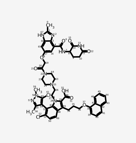 Cc1nc2c(C(=O)NC3CCC(=O)NC3=O)cc(OCC(=O)N3CCN(CCn4c(C(=O)O)c(CCCOc5cccc6ccccc56)c5ccc(Cl)c(-c6c(C)nn(C)c6C)c54)CC3)cc2[nH]1